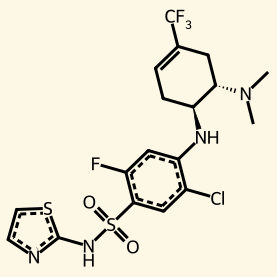 CN(C)[C@H]1CC(C(F)(F)F)=CC[C@@H]1Nc1cc(F)c(S(=O)(=O)Nc2nccs2)cc1Cl